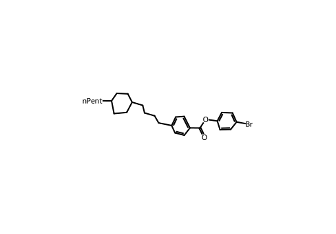 CCCCCC1CCC(CCCCc2ccc(C(=O)Oc3ccc(Br)cc3)cc2)CC1